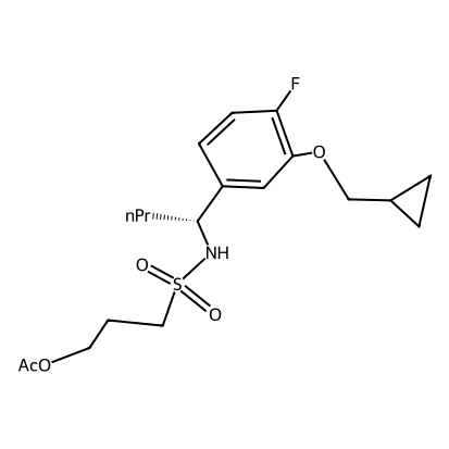 CCC[C@@H](NS(=O)(=O)CCCOC(C)=O)c1ccc(F)c(OCC2CC2)c1